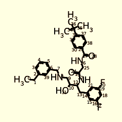 CCc1cccc(CNCC(O)C(Cc2cc(F)cc(F)c2)NC(=O)CNC(=O)c2ccc(C(C)(C)C)cc2)c1